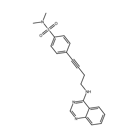 CN(C)S(=O)(=O)c1ccc(C#CCCNc2ncnc3ccccc23)cc1